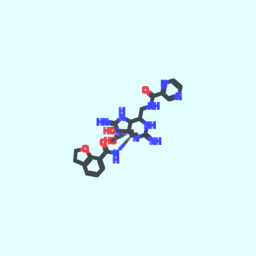 C[C@]1(O)[C@@H](NC(=O)c2cccc3c2OCC3)CN2C(=N)NC(CNC(=O)c3cnccn3)C3NC(=N)N(O)C321